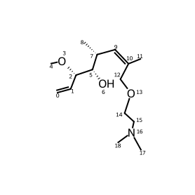 C=C[C@H](OC)[C@@H](O)[C@H](C)/C=C(/C)COCCN(C)C